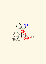 CC(=O)Nc1ccccc1[As](=O)(O)OO.CCOC=O.c1ccc2[nH]ccc2c1